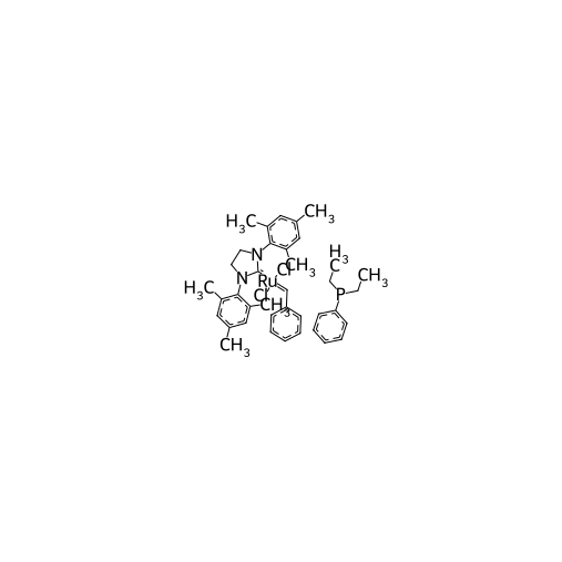 CCP(CC)c1ccccc1.Cc1cc(C)c(N2CCN(c3c(C)cc(C)cc3C)[C]2=[Ru]([Cl])([Cl])=[CH]c2ccccc2)c(C)c1